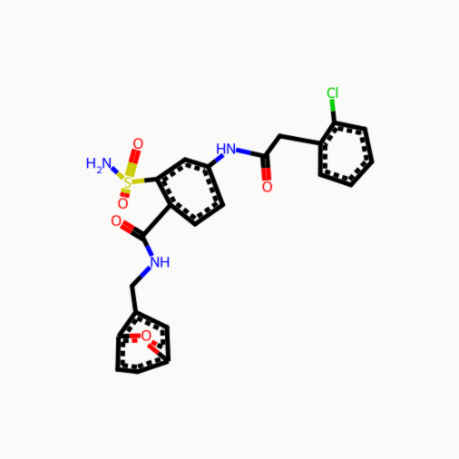 NS(=O)(=O)c1cc(NC(=O)Cc2ccccc2Cl)ccc1C(=O)NCc1cc2ccc1o2